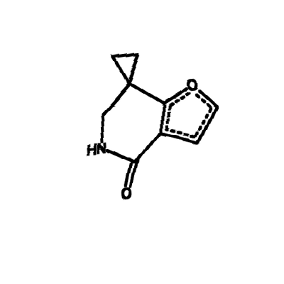 O=C1NCC2(CC2)c2occc21